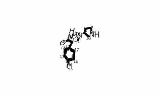 NC(=O)[C@H](CN[C@@H]1CCNC1)c1ccc(Cl)cc1